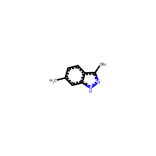 Cc1ccc2c(C(C)(C)C)n[nH]c2c1